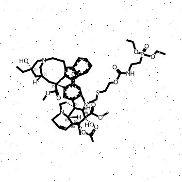 CCOP(=O)(CCNC(=O)OCCSCN1c2cc(OC)c([C@@]3(C(=O)OC)C[C@H]4CN(CCc5c3[nH]c3ccccc53)C[C@](O)(CC)C4)cc2[C@@]23CCN4CC=C[C@@](CC)([C@@H](OC(C)=O)[C@](O)(C(=O)OC)[C@H]12)[C@H]43)OCC